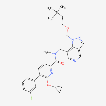 CN(Cc1cncc2cnn(COCC[Si](C)(C)C)c12)C(=O)c1ccc(-c2cccc(F)c2)c(OC2CC2)n1